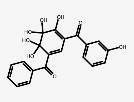 O=C(C1=CC(C(=O)c2cccc(O)c2)=C(O)C(O)(O)C1(O)O)c1ccccc1